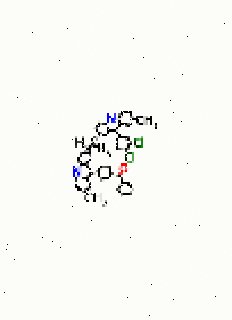 Cc1ccc2nc3ccc(C)cc3c(-c3ccc(C(=O)c4ccccc4)cc3)c2c1.Cc1ccc2nc3ccc(C)cc3c(-c3ccc(Cl)c(Cl)c3)c2c1